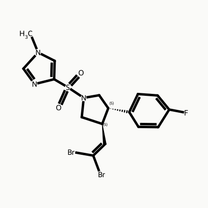 Cn1cnc(S(=O)(=O)N2C[C@H](c3ccc(F)cc3)[C@@H](C=C(Br)Br)C2)c1